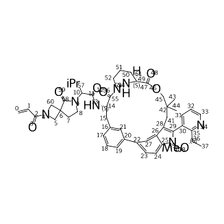 C=CC(=O)N1CC2(CCN(C(C(=O)N[C@H]3Cc4cccc(c4)-c4ccc5c(c4)c(c(-c4cccnc4[C@H](C)OC)n5C)CC(C)(C)COC(=O)[C@@H]4CCCN(N4)C3=O)C(C)C)C2=O)C1